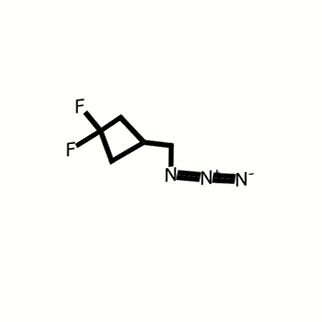 [N-]=[N+]=NCC1CC(F)(F)C1